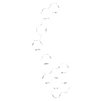 c1ccc2c(-c3c4ccccc4c(-c4ccc(-c5ccc6oc7cc8c(cc7c6c5)oc5c6ccccc6ccc85)cc4)c4ccccc34)cccc2c1